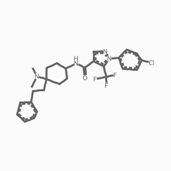 CN(C)C1(CCc2ccccc2)CCC(NC(=O)c2cnn(-c3ccc(Cl)cc3)c2C(F)(F)F)CC1